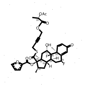 CC(=O)O[C@@H](C)C(=O)OCC#CCSC(=O)[C@@]1(OC(=O)c2ccco2)[C@H](C)C[C@H]2[C@@H]3C[C@H](F)C4=CC(=O)C=C[C@]4(C)[C@@]3(F)[C@@H](O)C[C@@]21C